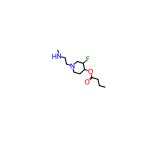 CCCC(=O)OC1CCN(CCNC)CC1F